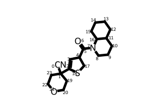 N#CC1(C2=CC(C(=O)N3CCCC4CCCCC43)CS2)CCOCC1